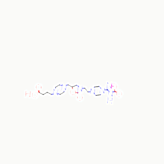 O=C(O)CCCN1CCN(CC2CN(CCN3CCN(c4noc(=O)[nH]4)CC3)C(=O)O2)CC1